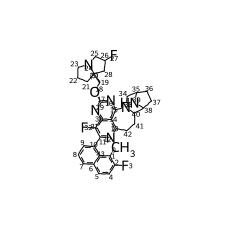 Cc1c(F)ccc2cccc(-c3nc4c5c(nc(OC[C@@]67CCCN6CC(F)C7)nc5c3F)N3CC5CCC(N5)C3CC4)c12